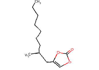 CCCCCCCC(C)Cc1coc(=O)o1